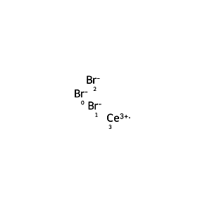 [Br-].[Br-].[Br-].[Ce+3]